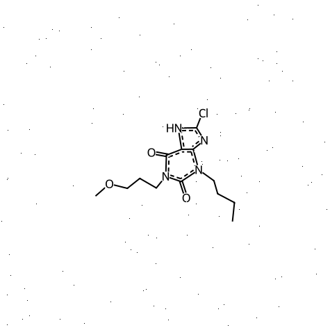 CCCCn1c(=O)n(CCCOC)c(=O)c2[nH]c(Cl)nc21